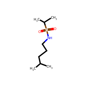 CC(C)CCCNS(=O)(=O)C(C)C